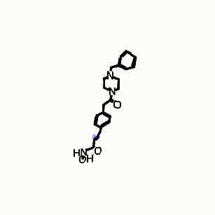 O=C(/C=C/c1ccc(CC(=O)N2CCN(Cc3ccccc3)CC2)cc1)NO